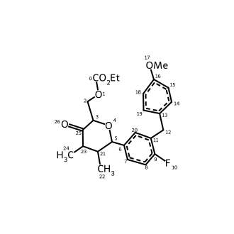 CCOC(=O)OCC1OC(c2ccc(F)c(Cc3ccc(OC)cc3)c2)C(C)C(C)C1=O